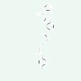 Cc1ccc(CC(C)CCCNC(=O)Cc2ccc3oc(C(O)c4c(C)noc4C)cc3c2)c(C)n1